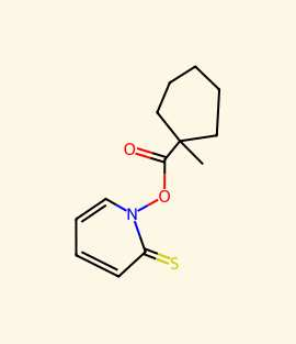 CC1(C(=O)On2ccccc2=S)CCCCC1